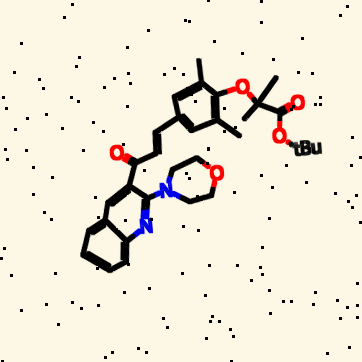 Cc1cc(/C=C/C(=O)c2cc3ccccc3nc2N2CCOCC2)cc(C)c1OC(C)(C)C(=O)OC(C)(C)C